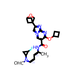 C/C(=C\C=C/N(C=O)C1CC1F)NC(=O)c1cn2cc(C34COC(C3)C4)nc2nc1OC1CCC1